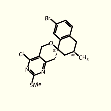 CSc1nc(Cl)c2c(n1)C[C@]1(C[C@H](C)Cc3ccc(Br)cc31)OC2